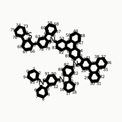 c1ccc(-n2c3ccccc3c3cc(-n4c5ccccc5c5cc(-n6c7cc8c9ccccc9c9ccccc9c8cc7c7cc8c9ccccc9c9cc(-n%10c%11ccccc%11c%11cc(-c%12cccc%13c%12sc%12ccccc%12%13)ccc%11%10)ccc9c8cc76)ccc54)ccc32)cc1